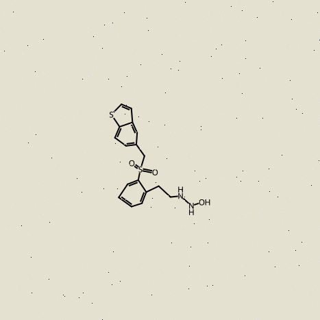 O=S(=O)(Cc1ccc2sccc2c1)c1ccccc1CCNNO